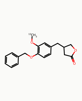 [13CH3]Oc1cc(CC2COC(=O)C2)ccc1OCc1ccccc1